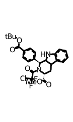 COC(=O)[C@H]1CC2c3ccccc3NC2[C@H](c2ccc(C(=O)OC(C)(C)C)cc2)N1C(=O)C(F)(F)Cl